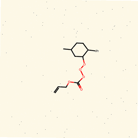 C=CCOC(=O)OOOC1CC(C)CCC1C(C)C